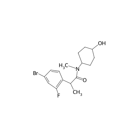 CC(C(=O)N(C)C1CCC(O)CC1)c1ccc(Br)cc1F